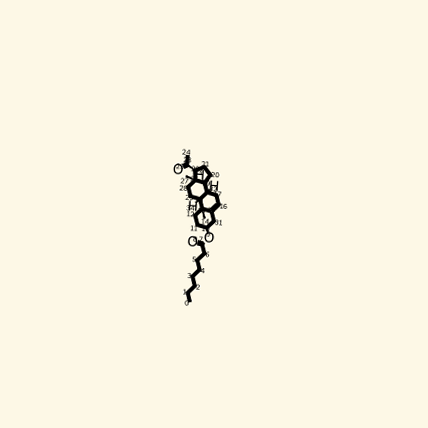 CCCCCCCC(=O)O[C@H]1CC[C@@]2(C)C(=CC[C@H]3[C@@H]4CC[C@H](C(C)=O)[C@@]4(C)CC[C@@H]32)C1